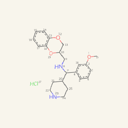 COc1cccc(C(NCC2COc3ccccc3O2)C2CCNCC2)c1.Cl